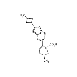 C[C@H]1CC=C(c2ccc3sc(C4CN(C)C4)nc3c2)N(C(=O)O)C1